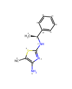 C[C@H](Nc1nc(N)c(C#N)s1)c1ccccc1